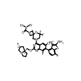 CCN(C(=O)N1CC2(C1)CN(c1nc(OC[C@@]34CCCN3C[C@H](F)C4)nc3c(F)c(-c4ccc(F)c5sc(N)c(C#N)c45)c(Cl)cc13)CC(F)(F)O2)C(C)C